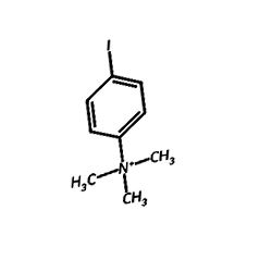 C[N+](C)(C)c1ccc(I)cc1